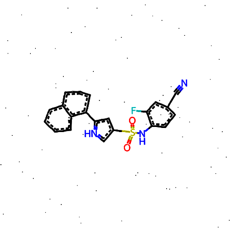 N#Cc1ccc(NS(=O)(=O)c2c[nH]c(-c3cccc4ccccc34)c2)c(F)c1